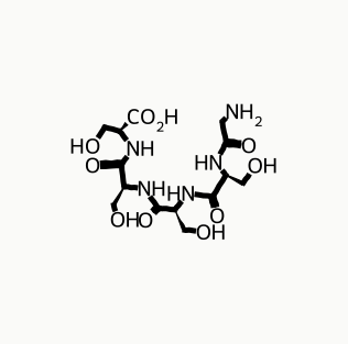 NCC(=O)N[C@@H](CO)C(=O)N[C@@H](CO)C(=O)N[C@@H](CO)C(=O)N[C@@H](CO)C(=O)O